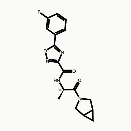 C[C@@H](NC(=O)c1noc(-c2cccc(F)c2)n1)C(=O)N1CC2CC2C1